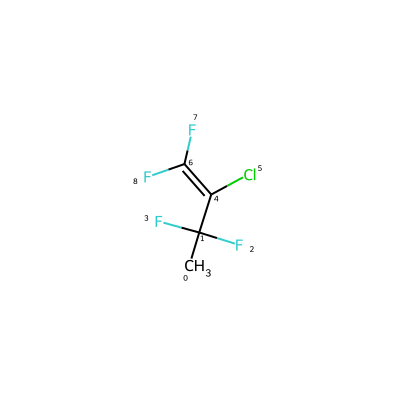 CC(F)(F)C(Cl)=C(F)F